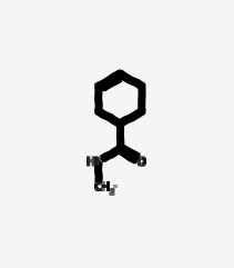 [CH2]NC(=O)C1CC=CCC1